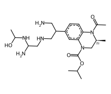 CC(=O)N1c2ccc(C(CN)CNCC(N)NC(C)O)cc2N(C(=O)OC(C)C)C[C@@H]1C